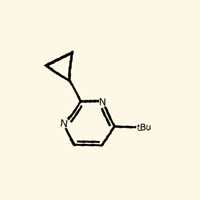 CC(C)(C)c1ccnc(C2CC2)n1